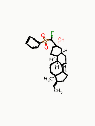 CC=C1CC[C@H]2[C@@H]3CC[C@H]4C[C@](O)(C(F)S(=O)(=O)c5ccccc5)CC[C@@H]4[C@H]3CC[C@]12C